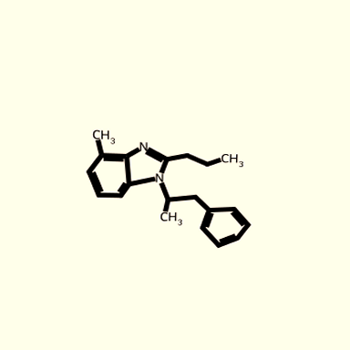 CCCc1nc2c(C)cccc2n1C(C)Cc1ccccc1